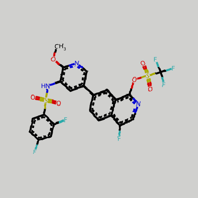 COc1ncc(-c2ccc3c(F)cnc(OS(=O)(=O)C(F)(F)F)c3c2)cc1NS(=O)(=O)c1ccc(F)cc1F